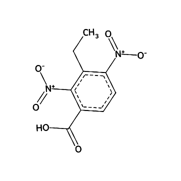 CCc1c([N+](=O)[O-])ccc(C(=O)O)c1[N+](=O)[O-]